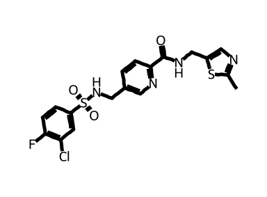 Cc1ncc(CNC(=O)c2ccc(CNS(=O)(=O)c3ccc(F)c(Cl)c3)cn2)s1